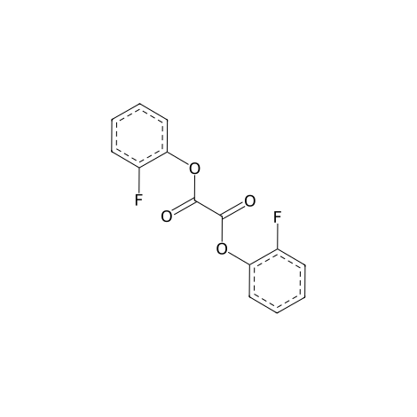 O=C(Oc1ccccc1F)C(=O)Oc1ccccc1F